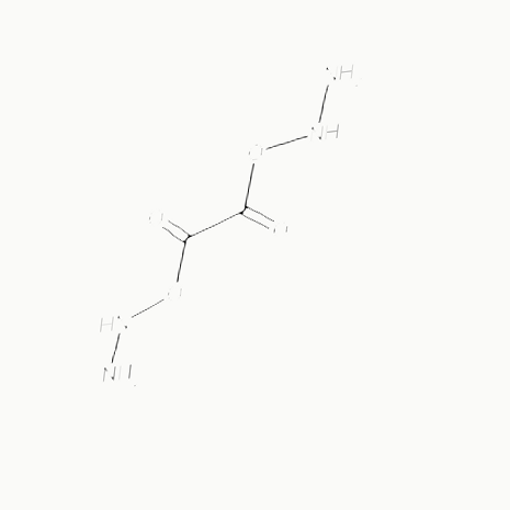 NNOC(=O)C(=O)ONN